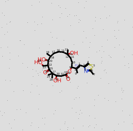 C/C(=C\c1csc(C)n1)C1CCC(C)(O)CCCC(C)C(O)C(CO)C(=O)C(C)(C)C(O)CC(=O)O1